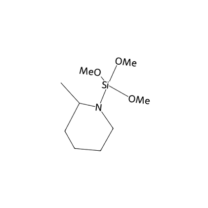 CO[Si](OC)(OC)N1CCCCC1C